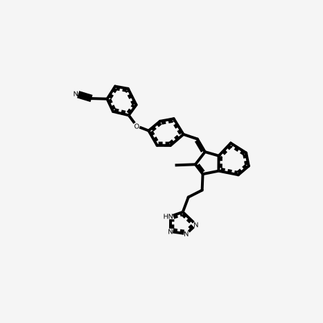 CC1=C(CCc2nnn[nH]2)c2ccccc2C1=Cc1ccc(Oc2cccc(C#N)c2)cc1